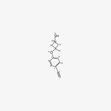 C#Cc1ccc(OC2(C)CN(S)C2)cc1